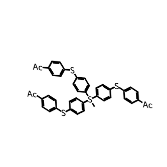 CC(=O)c1ccc(Sc2ccc(S(C)(c3ccc(Sc4ccc(C(C)=O)cc4)cc3)c3ccc(Sc4ccc(C(C)=O)cc4)cc3)cc2)cc1